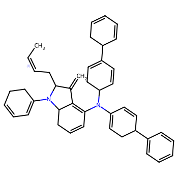 C=C1C2=C(N(C3=CCC(c4ccccc4)C=C3)C3C=CC(C4C=CC=CC4)=CC3)C=CCC2N(C2=CC=CCC2)C1C/C=C\C